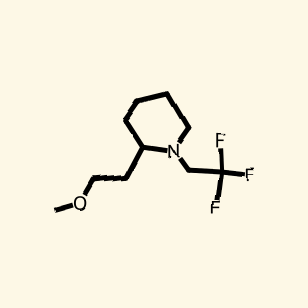 COCCC1CCCCN1CC(F)(F)F